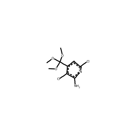 COC(OC)(OC)c1cc(Cl)nc(N)c1Cl